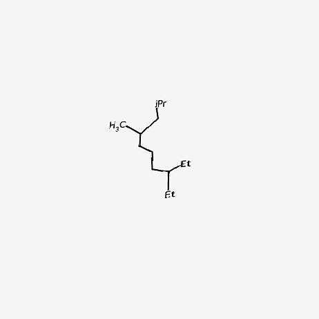 [CH2]CC(CC)CCCC(C)CC(C)C